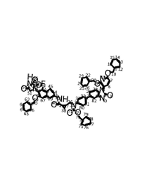 Cn1c(=O)n(-c2ccc(OCc3ccccc3)nc2OCc2ccccc2)c2ccc(-c3ccc(N(CC4CC4C(=O)Nc4ccc5c(F)c(N6CC(=O)NS6(=O)=O)c(OCc6ccccc6)cc5c4)C(=O)OCc4ccccc4)cc3)cc21